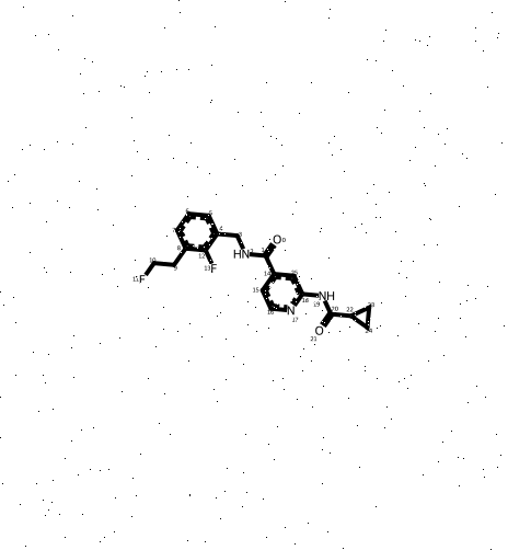 O=C(NCc1cccc(CCF)c1F)c1ccnc(NC(=O)C2CC2)c1